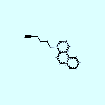 [C]#CCCCCc1cccc2c1ccc1ccccc12